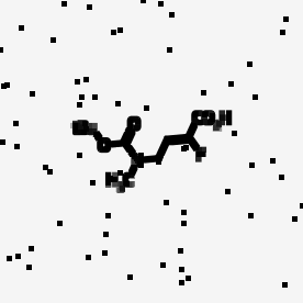 CN(C/C=C(\F)C(=O)O)C(=O)OC(C)(C)C